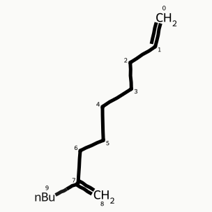 C=CCCCCCC(=C)CCCC